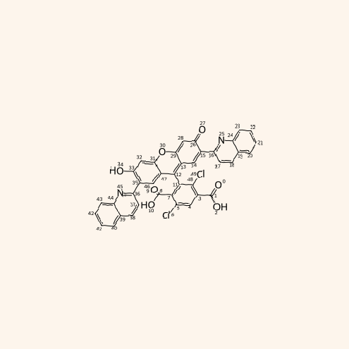 O=C(O)c1cc(Cl)c(C(=O)O)c(-c2c3cc(-c4ccc5ccccc5n4)c(=O)cc-3oc3cc(O)c(-c4ccc5ccccc5n4)cc23)c1Cl